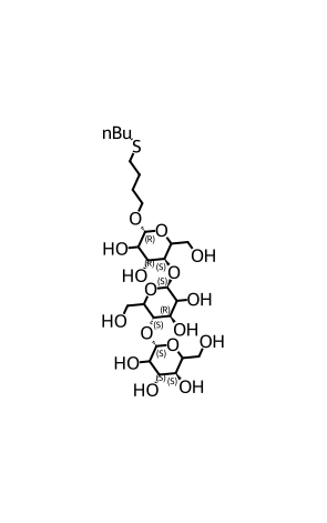 CCCCSCCCCO[C@@H]1OC(CO)[C@@H](O[C@@H]2OC(CO)[C@@H](O[C@@H]3OC(CO)[C@@H](O)[C@H](O)C3O)[C@H](O)C2O)[C@H](O)C1O